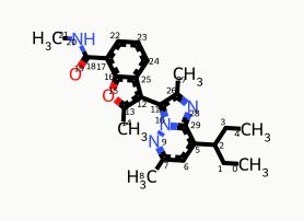 CCC(CC)c1cc(C)nn2c(-c3c(C)oc4c(C(=O)NC)cccc34)c(C)nc12